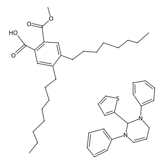 C1=CN(c2ccccc2)C(c2cccs2)N(c2ccccc2)C1.CCCCCCCCc1cc(C(=O)O)c(C(=O)OC)cc1CCCCCCCC